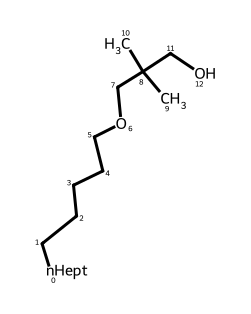 CCCCCCCCCCCCOCC(C)(C)CO